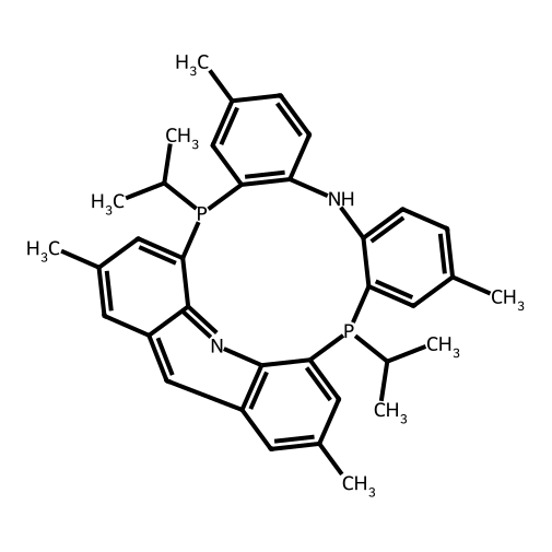 Cc1ccc2[nH]c3ccc(C)cc3p(C(C)C)c3cc(C)cc4cc5cc(C)cc(c5nc43)p(C(C)C)c2c1